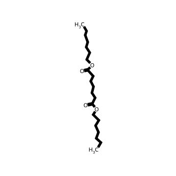 CCCCCCCOC(=O)CCCCCC(=O)OCCCCCCC